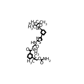 CC(C)(COC(N)=O)c1cccc(C(=O)NCC(=O)Nc2nc(-c3cccc(B4OC(C)(C)C(C)(C)O4)c3)cs2)c1